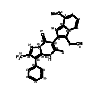 COc1cccn2c(CO)c(-c3c(C)[nH]c4c(-c5ccccc5)c(C(F)(F)F)nn4c3=O)nc12